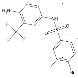 Cc1cc(S(=O)(=O)Nc2ccc(N)c(C(F)(F)F)c2)ccc1Br